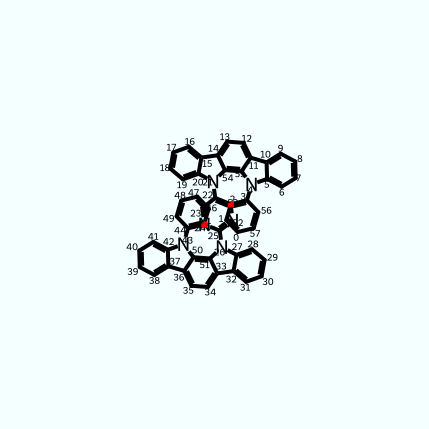 c1ccc(-n2c3ccccc3c3ccc4c5ccccc5n(-c5cnc(-n6c7ccccc7c7ccc8c9ccccc9n(-c9ccccc9)c8c76)nc5)c4c32)cc1